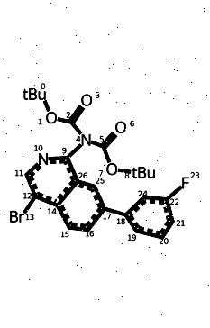 CC(C)(C)OC(=O)N(C(=O)OC(C)(C)C)c1ncc(Br)c2ccc(-c3cccc(F)c3)cc12